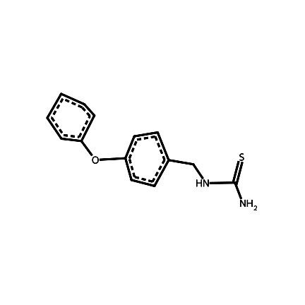 NC(=S)NCc1ccc(Oc2ccccc2)cc1